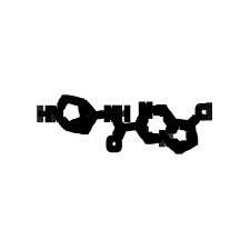 O=C(NC1CC2CC1CN2)c1cn2ccc(Cl)c2cn1